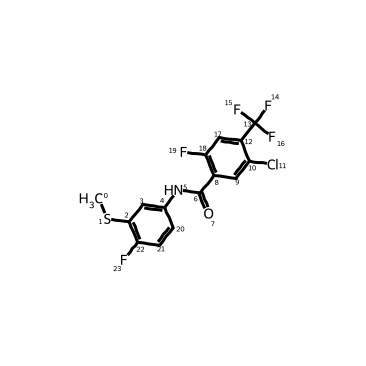 CSc1cc(NC(=O)c2cc(Cl)c(C(F)(F)F)cc2F)ccc1F